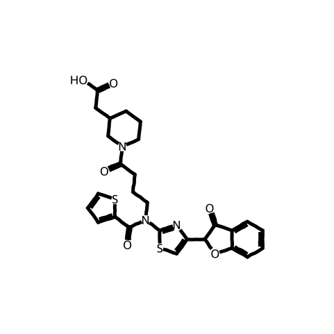 O=C(O)CC1CCCN(C(=O)CCCN(C(=O)c2cccs2)c2nc(C3Oc4ccccc4C3=O)cs2)C1